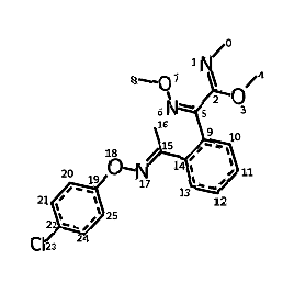 CN=C(OC)C(=NOC)c1ccccc1C(C)=NOc1ccc(Cl)cc1